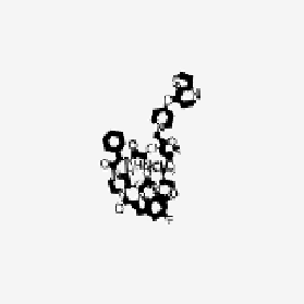 CN[C@@H](C)C(=O)N[C@H](C(=O)N1CCN(C(=O)c2cc3cc(F)ccc3n2CC(=O)N2CCOC[C@@H]2COc2cc(CN3CCC(Oc4ccnc5ccsc45)CC3)on2)[C@@H](C)C1)C1CCCCC1